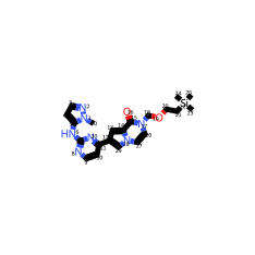 Cn1nccc1Nc1nccc(-c2cc3c(=O)n(COCC[Si](C)(C)C)ccn3c2)n1